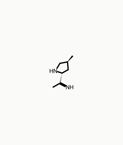 CC(=N)[C@H]1C[C@H](C)CN1